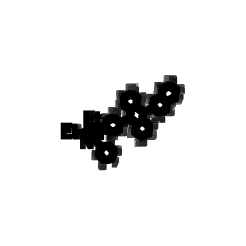 CCc1nc(-c2ccccc2)n(-c2ccc(-c3c4ccccc4c(-c4ccc5ccccc5c4)c4ccccc34)cc2)c1CC